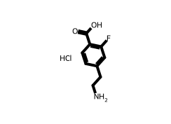 Cl.NCCc1ccc(C(=O)O)c(F)c1